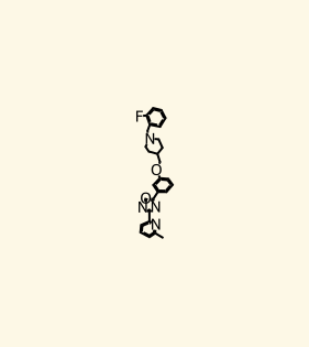 Cc1cccc(-c2noc(-c3cccc(OCC4CCN(Cc5ccccc5F)CC4)c3)n2)n1